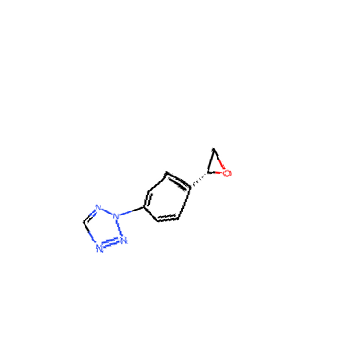 c1nnn(-c2ccc([C@@H]3CO3)cc2)n1